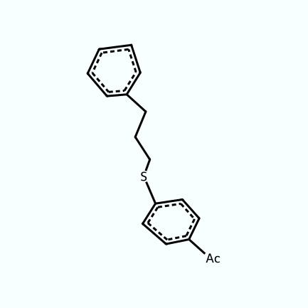 CC(=O)c1ccc(SCCCc2ccccc2)cc1